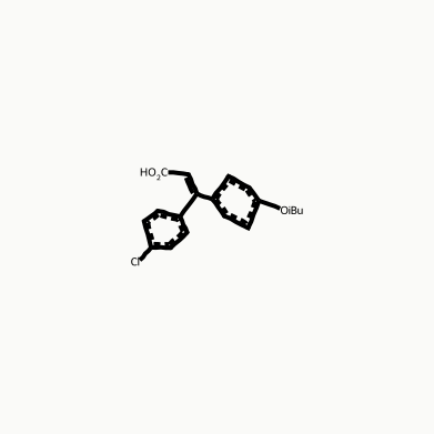 CC(C)COc1ccc(C(=CC(=O)O)c2ccc(Cl)cc2)cc1